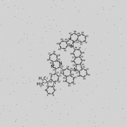 CC1(C)c2ccccc2-c2ccc(-c3nc4ccccc4nc3-c3cc(-n4c5ccccc5c5cc6ccc(-n7c8ccccc8c8ccc9ccccc9c87)cc6cc54)c4ccccc4c3)cc21